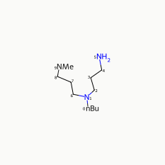 CCCCN(CCCN)CCCNC